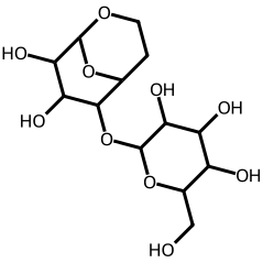 OCC1OC(OC2C3CCOC(O3)C(O)C2O)C(O)C(O)C1O